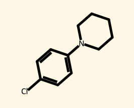 Clc1ccc(N2CCCCC2)cc1